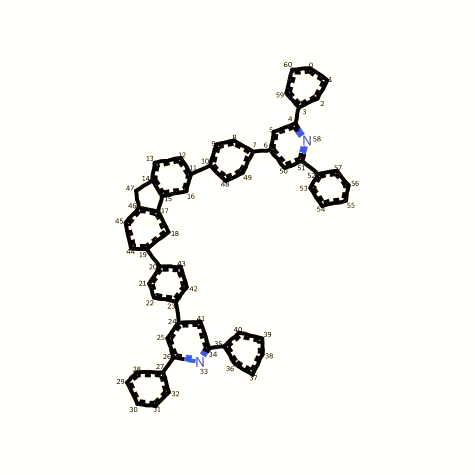 c1ccc(-c2cc(-c3ccc(-c4ccc5c(c4)-c4cc(-c6ccc(-c7cc(-c8ccccc8)nc(-c8ccccc8)c7)cc6)ccc4C5)cc3)cc(-c3ccccc3)n2)cc1